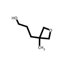 CC1(CCCO)COC1